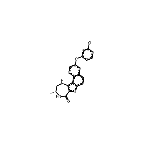 C[C@@H]1CNc2c(sc3ccc4nc(Oc5ccnc(Cl)n5)cnc4c23)C(=O)N1